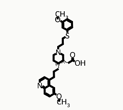 COc1cccc(SCCCN2CC[C@@H](CCCc3ccnc4ccc(OC)cc34)[C@@H](CC(=O)O)C2)c1